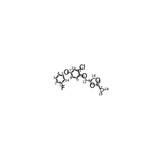 Fc1cccc(Oc2ccc(OCC3COC(C4CC4)O3)c(Cl)c2)c1